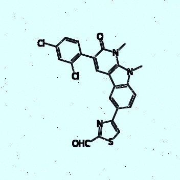 Cn1c(=O)c(-c2ccc(Cl)cc2Cl)cc2c3cc(-c4csc(C=O)n4)ccc3n(C)c21